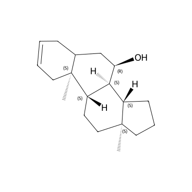 C[C@@]12CCC[C@H]1[C@@H]1[C@H](O)CC3CC=CC[C@]3(C)[C@H]1CC2